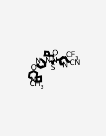 CN1CCC(Oc2ccc(N3C(=S)N(c4cnc(C#N)c(C(F)(F)F)c4)C(=O)C34CCC4)cn2)CC12CCC2